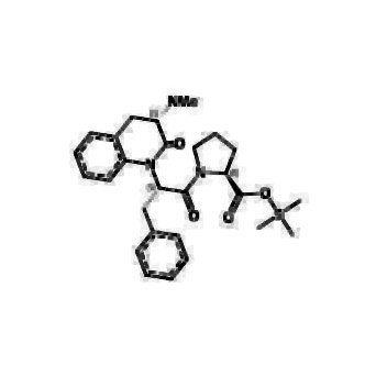 CN[C@H]1Cc2ccccc2N([C@@H](Cc2ccccc2)C(=O)N2CCC[C@H]2C(=O)O[Si](C)(C)C)C1=O